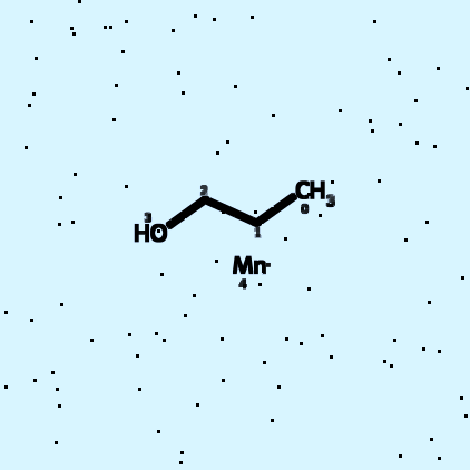 CCCO.[Mn]